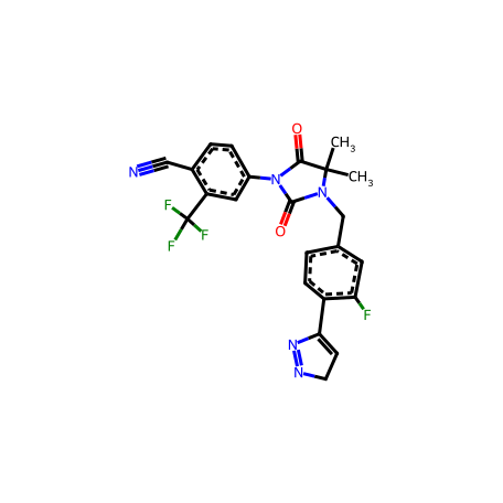 CC1(C)C(=O)N(c2ccc(C#N)c(C(F)(F)F)c2)C(=O)N1Cc1ccc(C2=CCN=N2)c(F)c1